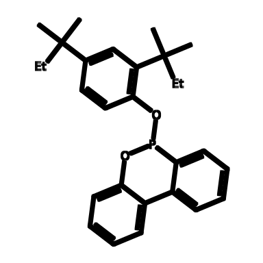 CCC(C)(C)c1ccc(OP2Oc3ccccc3-c3ccccc32)c(C(C)(C)CC)c1